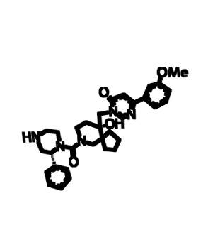 COc1cccc(-c2cc(=O)n(C[C@]3(O)CCN(C(=O)N4CCNC[C@H]4c4ccccc4)CC34CCCC4)cn2)c1